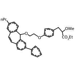 CCCc1ccc2c(c1)C=Cc1ccc(-c3ccccc3)cc1C2OCCOc1ccc(CC(OC)C(=O)OCC)cc1